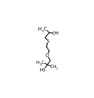 CC(O)CSCCOCC(C)(C)S